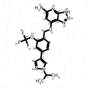 CC(C)n1cc(-c2ccc(COc3cc(N)nc4[nH]nnc34)c(OC(F)(F)F)c2)cn1